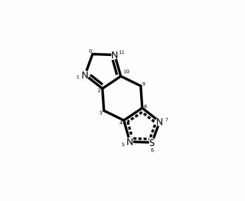 C1N=C2Cc3nsnc3CC2=N1